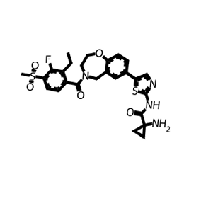 CCc1c(C(=O)N2CCOc3ccc(-c4cnc(NC(=O)C5(N)CC5)s4)cc3C2)ccc(S(C)(=O)=O)c1F